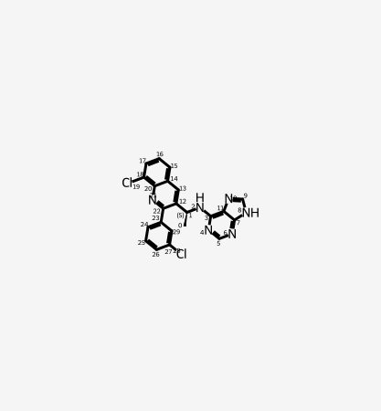 C[C@H](Nc1ncnc2[nH]cnc12)c1cc2cccc(Cl)c2nc1-c1cccc(Cl)c1